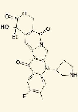 CC[C@@]1(O)C(=O)OCc2c1cc1n(c2=O)Cc2c-1c(=O)c1cc(F)c(C)cc1n2[C@@H]1CCNC1